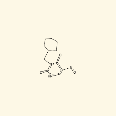 O=Nc1c[nH]c(=O)n(CC2CCCCC2)c1=O